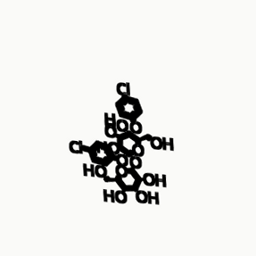 OC[C@H]1O[C@@H](O[C@@]2(Oc3ccc(Cl)cc3)O[C@H](CO)[C@](O)(Oc3ccc(Cl)cc3)[C@H](O)[C@H]2O)[C@H](O)[C@@H](O)[C@@H]1O